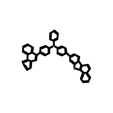 c1ccc(N(c2ccc(-c3ccc4c(c3)sc3c5ccccc5ccc43)cc2)c2ccc(-c3cc4ccccc4c4ccccc34)cc2)cc1